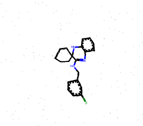 Fc1cccc(CNC2=Nc3ccccc3NC23CCCCC3)c1